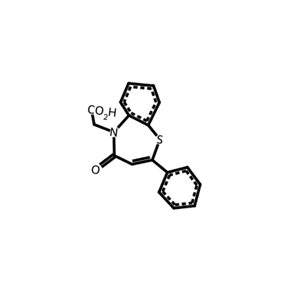 O=C(O)CN1C(=O)C=C(c2ccccc2)Sc2ccccc21